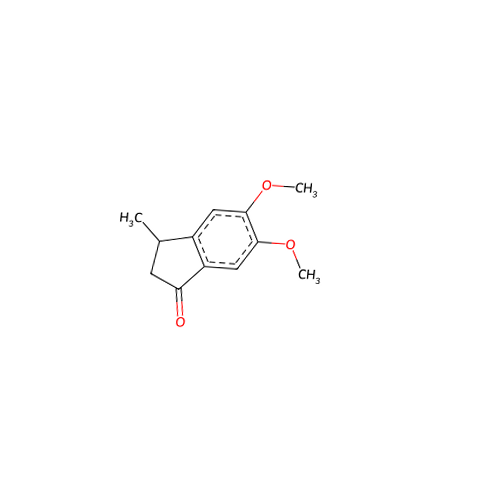 COc1cc2c(cc1OC)C(C)CC2=O